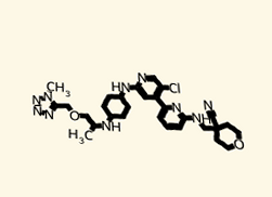 CC(COCc1nnnn1C)NC1CCC(Nc2cc(-c3cccc(NCC4(C#N)CCOCC4)n3)c(Cl)cn2)CC1